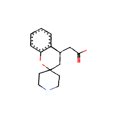 O=C(O)CC1CC2(CCNCC2)Oc2ccccc21